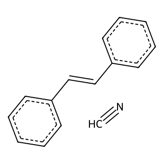 C#N.C(=Cc1ccccc1)c1ccccc1